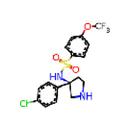 O=S(=O)(N[C@@]1(c2ccc(Cl)cc2)CCNC1)c1ccc(OC(F)(F)F)cc1